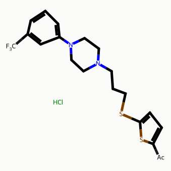 CC(=O)c1ccc(SCCCN2CCN(c3cccc(C(F)(F)F)c3)CC2)s1.Cl